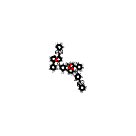 CC1(C)c2cc(N(c3ccc(-c4nc5ccccc5o4)cc3)c3ccccc3-c3ccccc3)ccc2-c2ccc(N(c3ccc(-c4nc5ccccc5o4)cc3)c3ccccc3-c3ccccc3)cc21